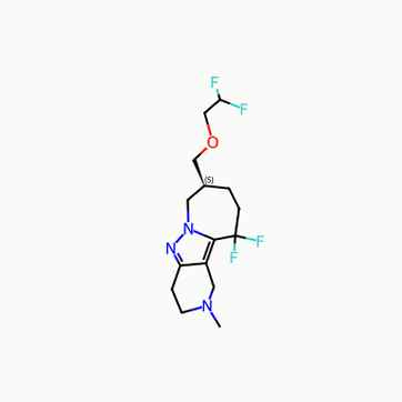 CN1CCc2nn3c(c2C1)C(F)(F)CC[C@H](COCC(F)F)C3